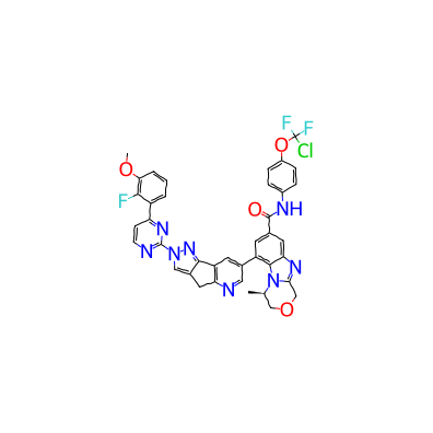 COc1cccc(-c2ccnc(-n3cc4c(n3)-c3cc(-c5cc(C(=O)Nc6ccc(OC(F)(F)Cl)cc6)cc6nc7n(c56)[C@H](C)COC7)cnc3C4)n2)c1F